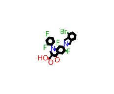 O=C(O)c1cn(-c2ccc(F)cc2F)c2c(F)c(N3Cc4cccc(Br)c4C3)c(F)cc2c1=O